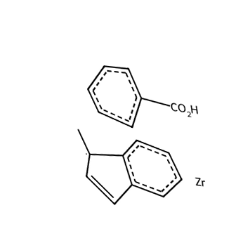 C[C]1C=Cc2ccccc21.O=C(O)c1ccccc1.[Zr]